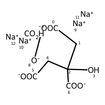 O=C([O-])CC(O)(CC(=O)[O-])C(=O)[O-].O=C([O-])O.[Na+].[Na+].[Na+].[Na+]